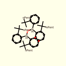 CCCCCC(C)(C)c1ccccc1[SiH](O[SiH](c1ccccc1C(C)(C)CCCCC)c1ccccc1C(C)(C)CCCCC)c1ccccc1C(C)(C)CCCCC